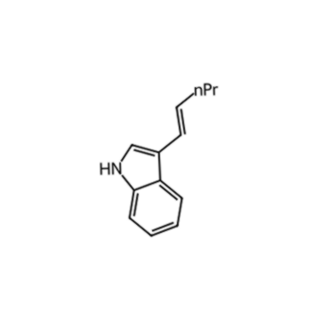 CCCC=Cc1c[nH]c2ccccc12